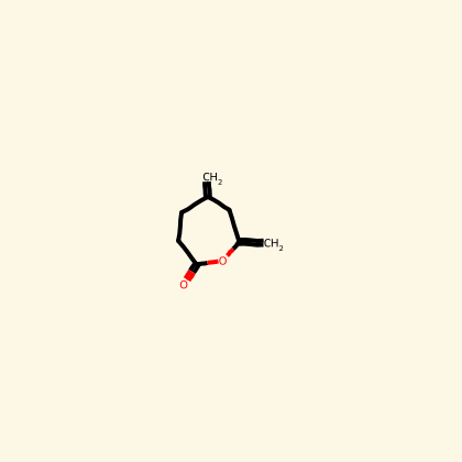 C=C1CCC(=O)OC(=C)C1